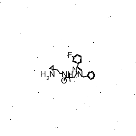 CC(C)([CH]c1nc(-c2cccc(F)c2)cn1Cc1ccccc1)C(=O)NCCC1(N)CC1